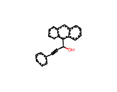 OC(C#Cc1ccccc1)c1c2ccccc2cc2ccccc12